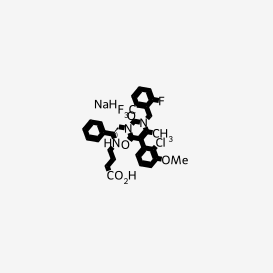 COc1cccc(-c2c(C)n(Cc3c(F)cccc3C(F)(F)F)c(=O)n(C[C@H](NCCCC(=O)O)c3ccccc3)c2=O)c1Cl.[NaH]